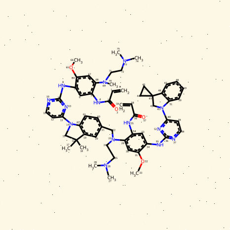 C=CC(=O)Nc1cc(Nc2nccc(N3CC(C)(C)c4cc(CN(CCN(C)C)c5cc(OC)c(Nc6nccc(N7CC8(CC8)c8ccccc87)n6)cc5NC(=O)C=C)ccc43)n2)c(OC)cc1N(C)CCN(C)C